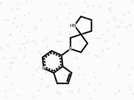 C1=Cc2c(N3CCC4(CCCN4)C3)ccnc2C1